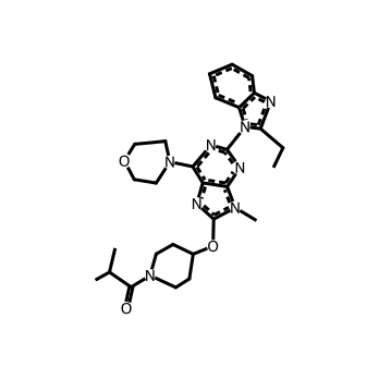 CCc1nc2ccccc2n1-c1nc(N2CCOCC2)c2nc(OC3CCN(C(=O)C(C)C)CC3)n(C)c2n1